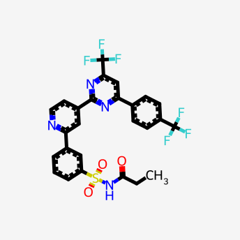 CCC(=O)NS(=O)(=O)c1cccc(-c2cc(-c3nc(-c4ccc(C(F)(F)F)cc4)cc(C(F)(F)F)n3)ccn2)c1